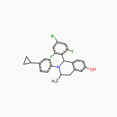 CC1Cc2cc(O)ccc2C(c2c(F)cc(Br)cc2F)N1c1ccc(C2CC2)cc1